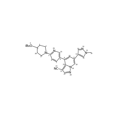 CC(C)COC1CCN(c2ccc(-c3cc(-c4cnn(C)c4)cn4ncc(C#N)c34)cn2)CC1